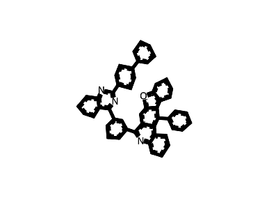 c1ccc(-c2ccc(-c3nc(-c4cccc(-c5nc6ccccc6c6c(-c7ccccc7)c7c(cc56)oc5ccccc57)c4)c4ccccc4n3)cc2)cc1